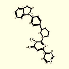 Cn1c(N2CCCC(c3ccc(N4CCc5ccccc54)cc3)C2)nc(-c2ccncn2)cc1=O